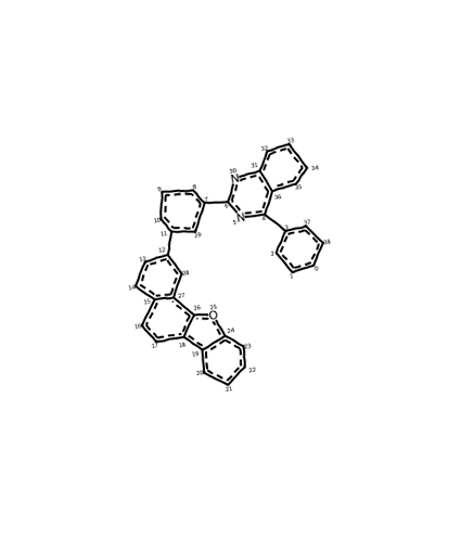 c1ccc(-c2nc(-c3cccc(-c4ccc5ccc6c7ccccc7oc6c5c4)c3)nc3ccccc23)cc1